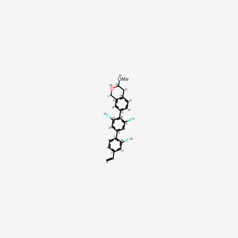 C=Cc1ccc(-c2cc(F)c(-c3ccc4c(c3)COC(OC)C4)c(F)c2)c(F)c1